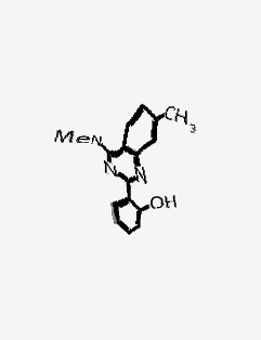 CNc1nc(-c2ccccc2O)nc2cc(C)ccc12